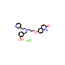 Cl.Cn1c(=O)ccc2cc(OCCCN(CCc3cccnc3)Cc3cccc(O)c3)ccc21